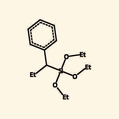 CCO[Si](OCC)(OCC)C(CC)c1ccccc1